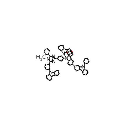 CC1C=CC=CC1c1nc(-c2cccc(-n3c4ccccc4c4ccccc43)c2)nc(-c2ccc(-n3c4ccccc4c4cc(-c5ccc6c7ccccc7n(-c7ccccc7)c6c5)ccc43)c(-n3c4ccccc4c4ccccc43)c2)n1